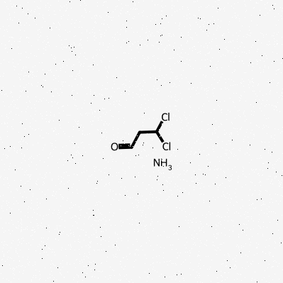 N.O=CCC(Cl)Cl